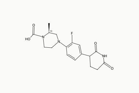 C[C@H]1CN(c2ccc(C3CCC(=O)NC3=O)cc2F)CCN1C(=O)O